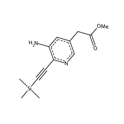 COC(=O)Cc1cnc(C#C[Si](C)(C)C)c(N)c1